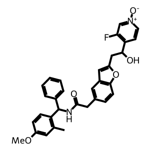 COc1ccc(C(NC(=O)Cc2ccc3oc(CC(O)c4cc[n+]([O-])cc4F)cc3c2)c2ccccc2)c(C)c1